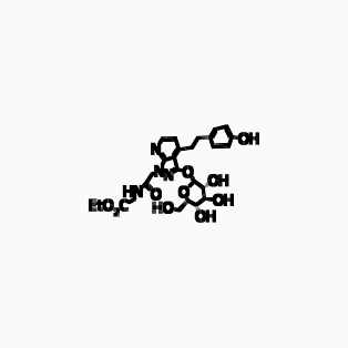 CCOC(=O)CNC(=O)Cn1nc(O[C@@H]2O[C@H](CO)[C@@H](O)[C@H](O)[C@H]2O)c2c(CCc3ccc(O)cc3)ccnc21